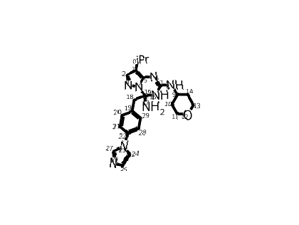 CC(C)c1cnn2c1N=C(NC1CCOCC1)NC2(N)Cc1ccc(-n2ccnc2)cc1